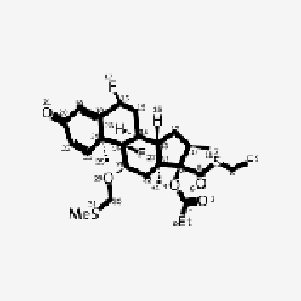 CCC(=O)O[C@]1(C(=O)SCF)[C@H](C)C[C@H]2[C@@H]3C[C@H](F)C4=CC(=O)C=C[C@]4(C)[C@@]3(F)[C@@H](OCSC)C[C@@]21C